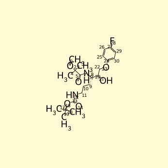 COC(C)(C)C(=O)N[C@@H](CCCNC(=O)OC(C)(C)C)C(O)COc1ccc(F)cc1